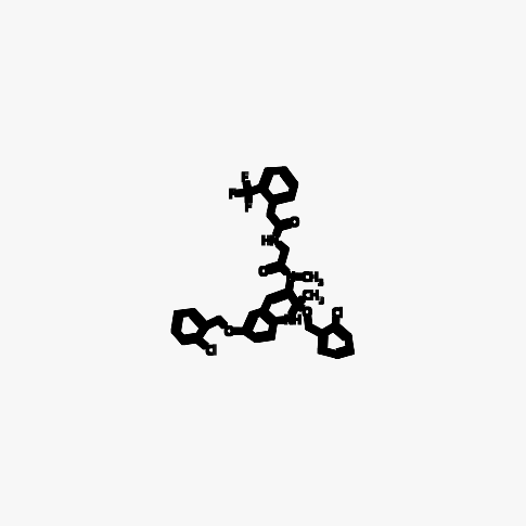 CN(C(=O)CNC(=O)Cc1ccccc1C(F)(F)F)C1=Cc2cc(OCc3ccccc3Cl)ccc2NC1(C)OCc1ccccc1Cl